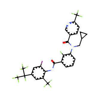 O=C(Nc1c(I)cc(C(F)(C(F)(F)F)C(F)(F)F)cc1C(F)(F)F)c1cccc(N(CC2CC2)C(=O)c2ccc(C(F)(F)F)nc2)c1F